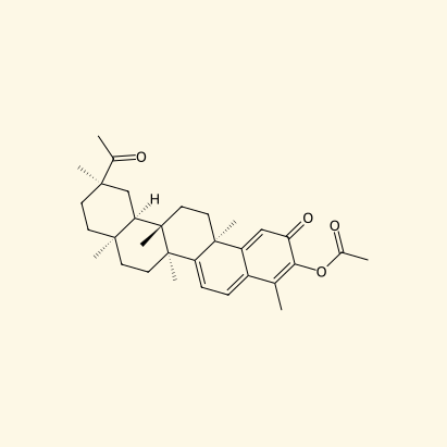 CC(=O)OC1=C(C)C2=CC=C3[C@@](C)(CC[C@@]4(C)[C@@H]5C[C@](C)(C(C)=O)CC[C@]5(C)CC[C@]34C)C2=CC1=O